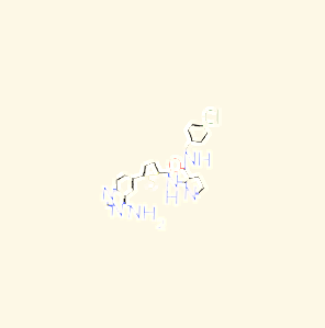 Nc1ncnc2ccc(-c3ccc(CNC4=NC=CCC4C(=O)NCc4ccc(Cl)cc4)s3)cc12